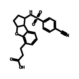 N#Cc1ccc(S(=O)(=O)NC2CCC3Oc4c(CCC(=O)O)cccc4C23)cc1